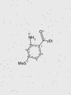 CCC(=O)c1ccc(SC)cc1N